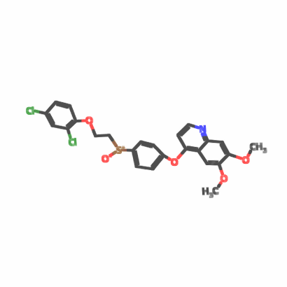 COc1cc2nccc(Oc3ccc([S+]([O-])CCOc4ccc(Cl)cc4Cl)cc3)c2cc1OC